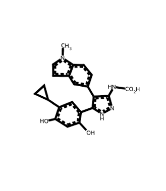 Cn1ccc2cc(-c3c(NC(=O)O)n[nH]c3-c3cc(C4CC4)c(O)cc3O)ccc21